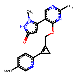 COc1ccc(C2=C(COc3nc(C)ncc3-c3cc(=O)[nH]n3C)C2)nc1